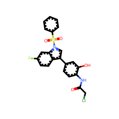 O=C(CCl)Nc1ccc(-c2cn(S(=O)(=O)c3ccccc3)c3cc(F)ccc23)cc1O